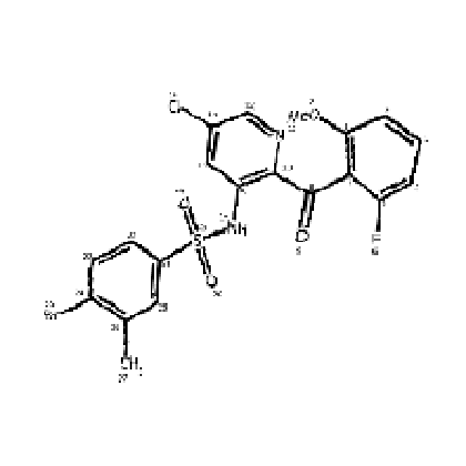 COc1cccc(F)c1C(=O)c1ncc(Cl)cc1NS(=O)(=O)c1ccc(Br)c(C)c1